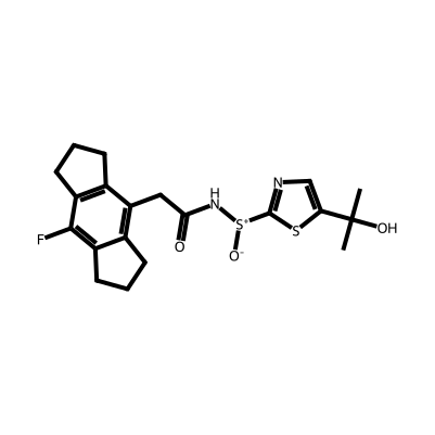 CC(C)(O)c1cnc([S+]([O-])NC(=O)Cc2c3c(c(F)c4c2CCC4)CCC3)s1